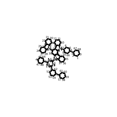 c1ccc(-c2ccc(-n3c4ccccc4c4c(-n5c6ccccc6c6ccccc65)cc5c(c6ccccc6n5-c5nc(-c6ccccc6)nc(-c6cccc(-c7ccccc7)c6)n5)c43)cc2)cc1